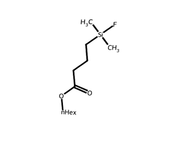 CCCCCCOC(=O)CCC[Si](C)(C)F